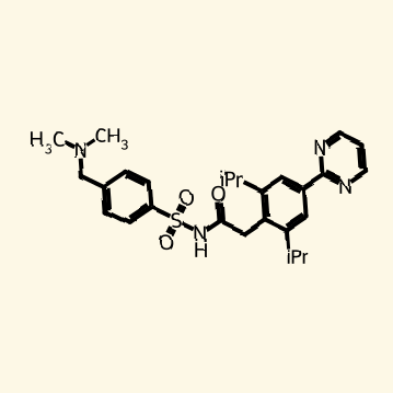 CC(C)c1cc(-c2ncccn2)cc(C(C)C)c1CC(=O)NS(=O)(=O)c1ccc(CN(C)C)cc1